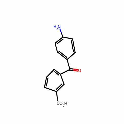 Nc1ccc(C(=O)c2cccc(C(=O)O)c2)cc1